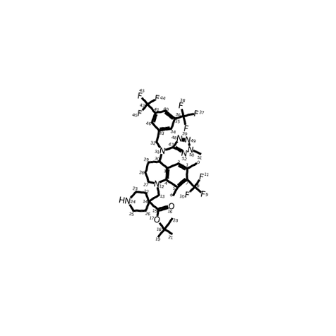 Cc1cc2c(c(C)c1C(F)(F)F)N(CC1(C(=O)OC(C)(C)C)CCNCC1)CCCC2N(Cc1cc(C(F)(F)F)cc(C(F)(F)F)c1)c1nnn(C)n1